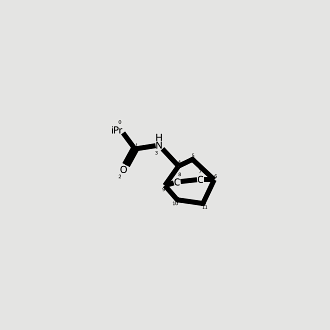 CC(C)C(=O)NC1CC2CCC1CC2